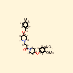 COc1cc(OC2CCN(C(=O)CCN3CCC(OCc4ccc(C(F)(F)F)cc4)CC3)CC2)ccc1[N+](=O)[O-]